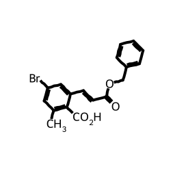 Cc1cc(Br)cc(C=CC(=O)OCc2ccccc2)c1C(=O)O